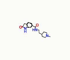 CN1CCC(CCNC(=O)c2ccc3c(c2)NC(=O)C3)CC1